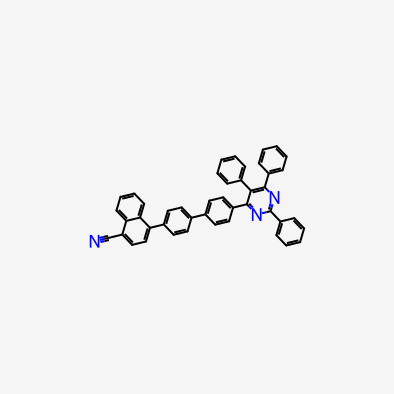 N#Cc1ccc(-c2ccc(-c3ccc(-c4nc(-c5ccccc5)nc(-c5ccccc5)c4-c4ccccc4)cc3)cc2)c2ccccc12